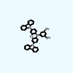 CC(C)c1cc(B2c3ccc(-n4c5ccccc5c5ccccc54)cc3Oc3cc(-n4c5ccccc5c5ccccc54)ccc32)cc(C(C)C)c1